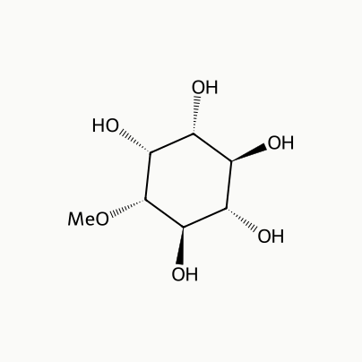 CO[C@@H]1[C@H](O)[C@H](O)[C@@H](O)[C@H](O)[C@H]1O